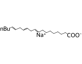 CCCCC=CCC=CCC=CCCCCCCCC(=O)[O-].[Na+]